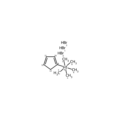 Br.Br.Br.[CH3][Hf]([CH3])([CH3])([CH3])([CH3])[C]1=CC=CC1